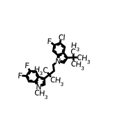 Cn1cc(C(C)(C)CCn2cc(C(C)(C)C)c3cc(Cl)c(F)cc32)c2cc(F)c(F)cc21